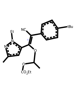 CCOC(=O)OC(C)O/C(=C(/C#N)c1ccc(C(C)(C)C)cc1)c1cc(C)nn1CC